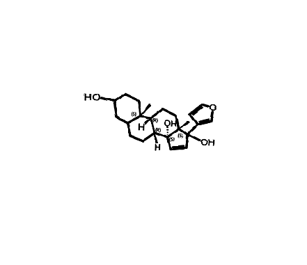 C[C@]12CCC(O)CC1CC[C@@H]1[C@H]2CC[C@]2(C)C(O)(c3ccoc3)C=C[C@@]12O